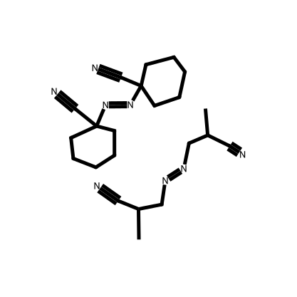 CC(C#N)CN=NCC(C)C#N.N#CC1(N=NC2(C#N)CCCCC2)CCCCC1